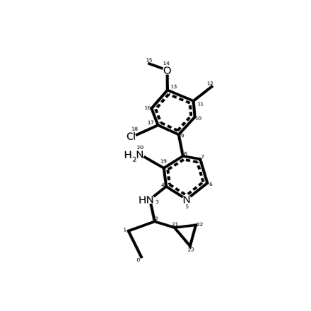 CCC(Nc1nccc(-c2cc(C)c(OC)cc2Cl)c1N)C1CC1